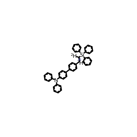 [2H]/C(=C(/[2H])[Si](c1ccccc1)(c1ccccc1)c1ccccc1)c1ccc(-c2ccc(N(c3ccccc3)c3ccccc3)cc2)cc1